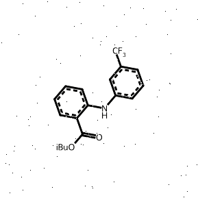 CC(C)COC(=O)c1ccccc1Nc1cccc(C(F)(F)F)c1